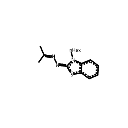 CCCCCCn1c(=NN=C(C)C)sc2ccccc21